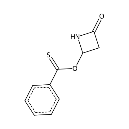 O=C1CC(OC(=S)c2ccccc2)N1